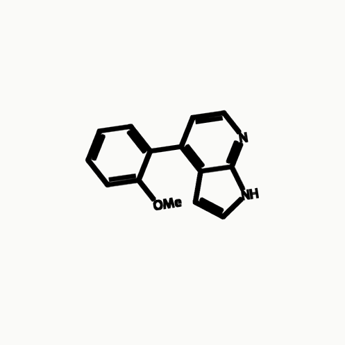 COc1ccccc1-c1ccnc2[nH]ccc12